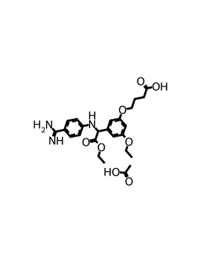 CC(=O)O.CCOC(=O)C(Nc1ccc(C(=N)N)cc1)c1cc(OCC)cc(OCCCC(=O)O)c1